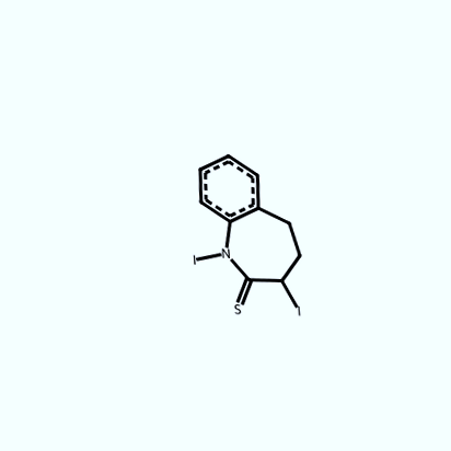 S=C1C(I)CCc2ccccc2N1I